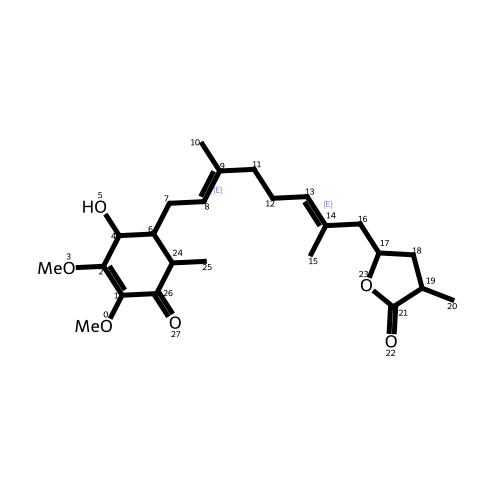 COC1=C(OC)C(O)C(C/C=C(\C)CC/C=C(\C)CC2CC(C)C(=O)O2)C(C)C1=O